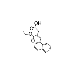 CCOC(=O)C(=Cc1cccc2ccccc12)CC(=O)O